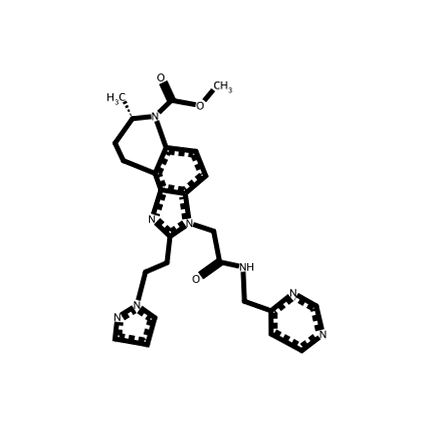 COC(=O)N1c2ccc3c(nc(CCn4cccn4)n3CC(=O)NCc3ccncn3)c2CC[C@@H]1C